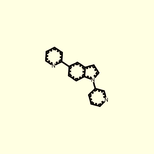 c1ccc(-c2ccc3c(ccn3-c3cccnc3)c2)nc1